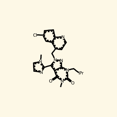 CC(C)Cn1c(=O)n(C)c(=O)c2c(-c3nccn3C)n(Cc3ccnc4ccc(Cl)cc34)nc21